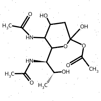 CC(=O)NC1C(O)CC(O)(OC(C)=O)OC1[C@H](NC(C)=O)[C@@H](C)O